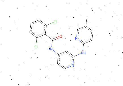 Cc1ccc(Nc2cc(NC(=O)c3c(Cl)cccc3Cl)ccn2)nc1